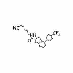 N#C/C=C\CCCNC(=O)c1ccc2c(-c3ccc(C(F)(F)F)cc3)cccc2c1